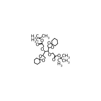 CC(C)(C)OC(=O)COC(C1COC2(CCCCC2)O1)C(OCC(=O)OC(C)(C)C)C1COC2(CCCCC2)O1